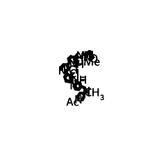 COc1nc(-c2ccnc(-c3cccc(Nc4nccc(CN(C)C5CCN(C(C)=O)CC5)c4F)c3Cl)c2Cl)ccc1CNC[C@@H]1CCC(=O)N1